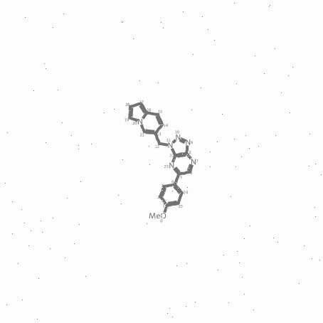 COc1ccc(-c2cnc3nnn(Cc4ccc5cccn5c4)c3n2)cc1